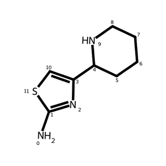 Nc1nc(C2CCCCN2)cs1